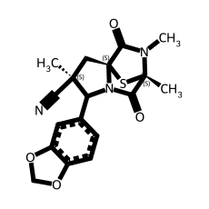 CN1C(=O)[C@@]23C[C@](C)(C#N)C(c4ccc5c(c4)OCO5)N2C(=O)[C@]1(C)S3